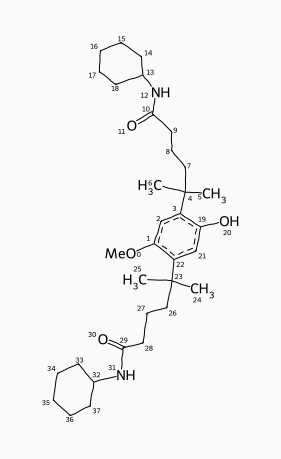 COc1cc(C(C)(C)CCCC(=O)NC2CCCCC2)c(O)cc1C(C)(C)CCCC(=O)NC1CCCCC1